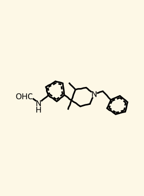 CC1CN(Cc2ccccc2)CCC1(C)c1cccc(NC=O)c1